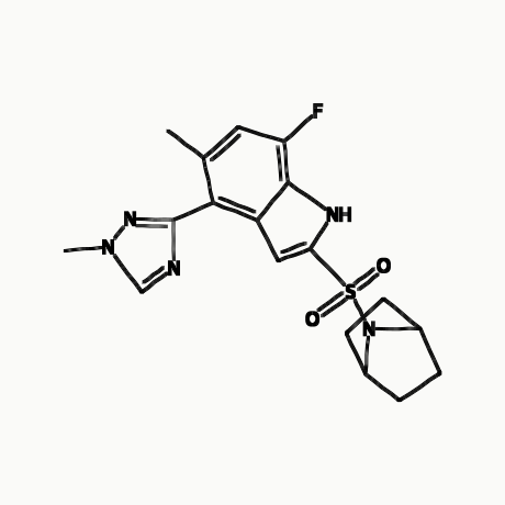 Cc1cc(F)c2[nH]c(S(=O)(=O)N3C4CCC3CC4)cc2c1-c1ncn(C)n1